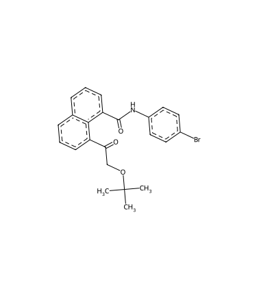 CC(C)(C)OCC(=O)c1cccc2cccc(C(=O)Nc3ccc(Br)cc3)c12